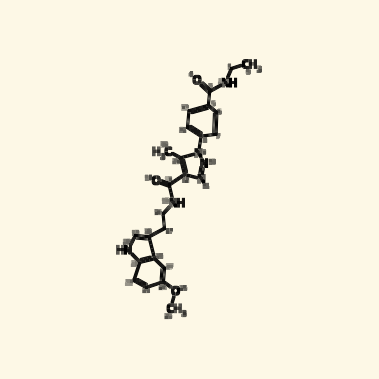 CCNC(=O)c1ccc(-n2nnc(C(=O)NCCc3c[nH]c4ccc(OC)cc34)c2C)cc1